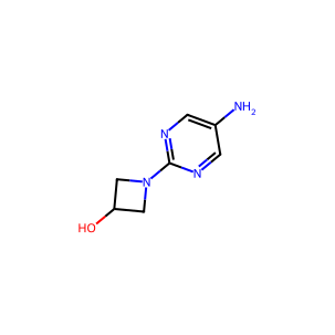 Nc1cnc(N2CC(O)C2)nc1